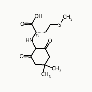 CSCC[C@H](NC1C(=O)CC(C)(C)CC1=O)C(=O)O